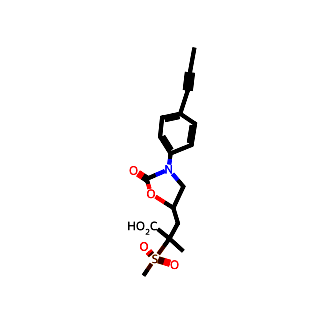 CC#Cc1ccc(N2CC(CC(C)(C(=O)O)S(C)(=O)=O)OC2=O)cc1